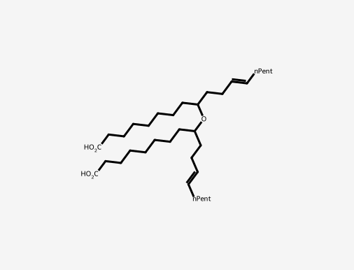 CCCCC/C=C/CCC(CCCCCCCC(=O)O)OC(CC/C=C/CCCCC)CCCCCCCC(=O)O